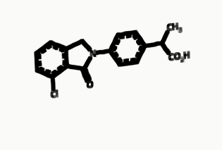 CC(C(=O)O)c1ccc(N2Cc3cccc(Cl)c3C2=O)cc1